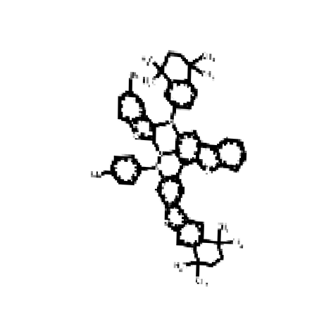 CC(C)(C)c1ccc(N2B3c4oc5ccc(C(C)(C)C)cc5c4N(c4ccc5c(c4)C(C)(C)CCC5(C)C)c4cc5c(oc6ccccc65)c(c43)-c3cc4c(cc32)sc2cc3c(cc24)C(C)(C)CCC3(C)C)cc1